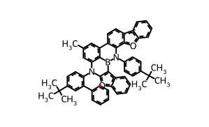 Cc1cc2c3c(c1)N(c1ccc(C(C)(C)C)cc1-c1ccccc1)c1oc4ccccc4c1B3N(c1ccc(C(C)(C)C)cc1)c1c-2ccc2c1oc1ccccc12